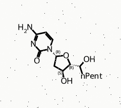 CCCCCC(O)[C@H]1O[C@@H](n2ccc(N)nc2=O)C[C@@H]1O